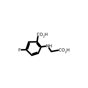 O=C(O)CNc1ccc(F)cc1C(=O)O